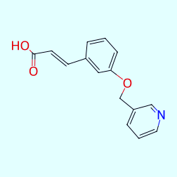 O=C(O)C=Cc1cccc(OCc2cccnc2)c1